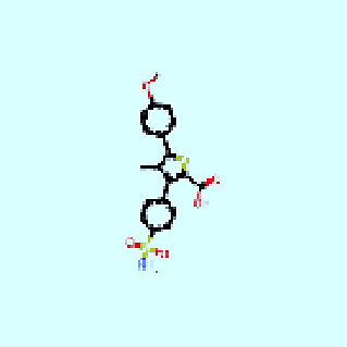 COc1ccc(-c2sc(C(=O)O)c(-c3ccc(S(N)(=O)=O)cc3)c2C)cc1